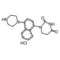 Cl.O=C1CCN(c2ccc(N3CCNCC3)c3ccccc23)C(=O)N1